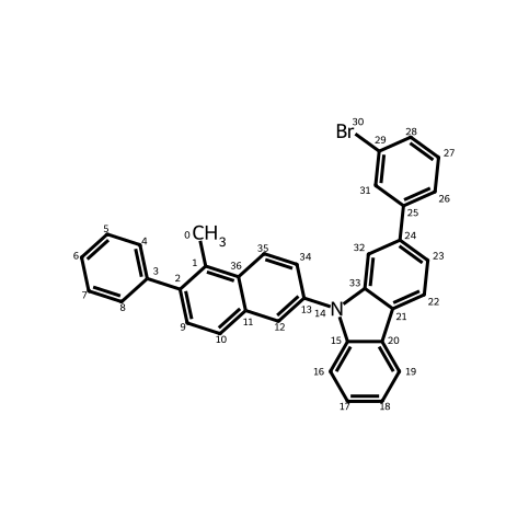 Cc1c(-c2ccccc2)ccc2cc(-n3c4ccccc4c4ccc(-c5cccc(Br)c5)cc43)ccc12